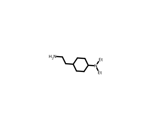 CCN(CC)C1CCC(CCN)CC1